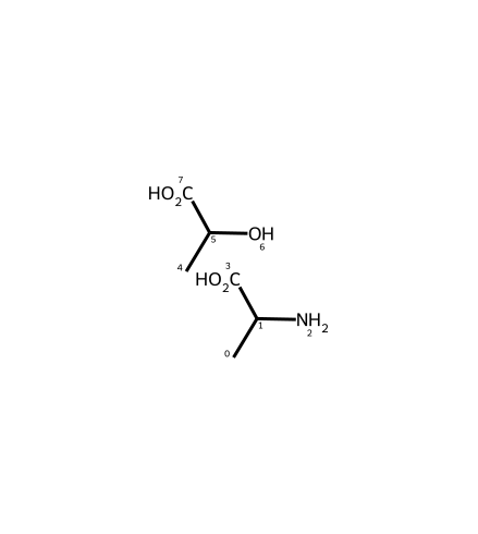 CC(N)C(=O)O.CC(O)C(=O)O